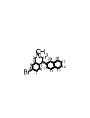 CN1Cc2cc(Br)ccc2C(c2ccc3ccccc3c2)C1